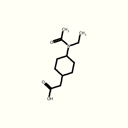 CCN(C(C)=O)C1CCC(CC(=O)O)CC1